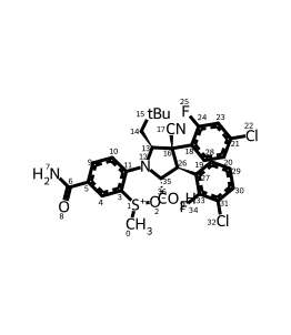 C[S+]([O-])c1cc(C(N)=O)ccc1N1[C@@H](CC(C)(C)C)[C@](C#N)(c2ccc(Cl)cc2F)[C@@H](c2cccc(Cl)c2F)[C@@H]1C(=O)O